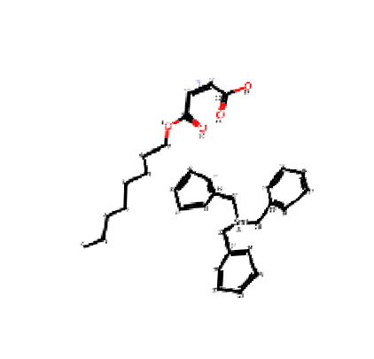 CCCCCCCCOC(=O)/C=C\C(=O)[O-].c1ccc([CH2][Sn+]([CH2]c2ccccc2)[CH2]c2ccccc2)cc1